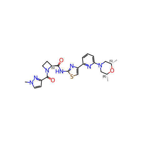 C[C@@H]1CN(c2cccc(-c3csc(NC(=O)[C@@H]4CCN4C(=O)c4ccn(C)n4)n3)n2)C[C@H](C)O1